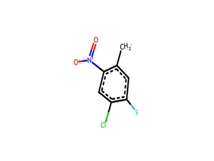 [CH2]c1cc(F)c(Cl)cc1[N+](=O)[O-]